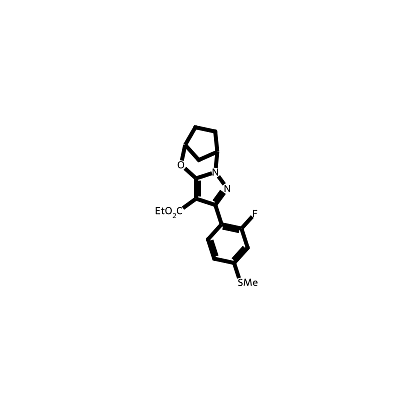 CCOC(=O)c1c(-c2ccc(SC)cc2F)nn2c1OC1CCC2C1